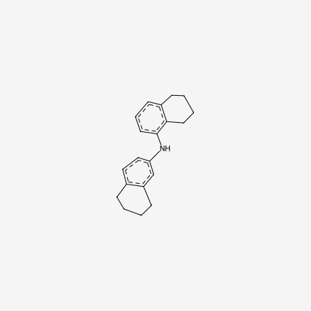 c1cc2c(c(Nc3ccc4c(c3)CCCC4)c1)CCCC2